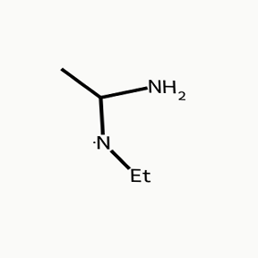 CC[N]C(C)N